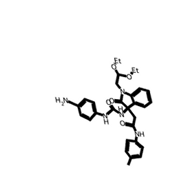 CCOC(CN1C(=O)C(CC(=O)Nc2ccc(C)cc2)(NC(=O)Nc2ccc(N)cc2)c2ccccc21)OCC